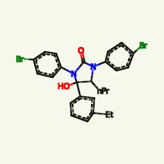 CCCC1N(c2ccc(Br)cc2)C(=O)N(c2ccc(Br)cc2)C1(O)c1cccc(CC)c1